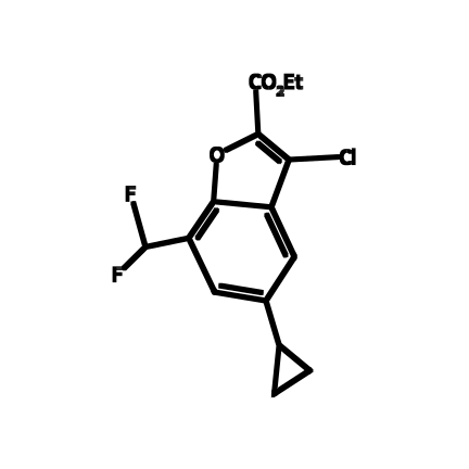 CCOC(=O)c1oc2c(C(F)F)cc(C3CC3)cc2c1Cl